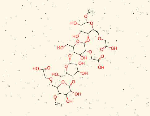 CO[C@@H]1O[C@@H](COCC(=O)O)[C@@H](O[C@@H]2OC(CO)[C@@H](O[C@@H]3O[C@@H](CO)[C@@H](O[C@@H]4OC(COCC(=O)O)[C@@H](OC)[C@H](O)C4O)C(O)C3O)[C@H](O)C2OCC(=O)O)C(O)C1O